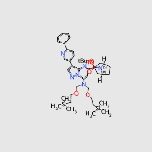 CC(C)(C)OC(=O)N1[C@@H]2CC[C@H]1C[C@@](O)(c1cc(N(COCC[Si](C)(C)C)COCC[Si](C)(C)C)n3ncc(-c4ccc(-c5ccccc5)nc4)c3n1)C2